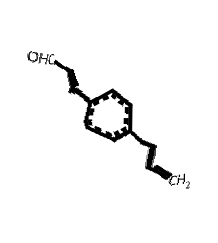 C=CCc1ccc(/C=C/C=O)cc1